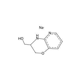 OCC1COc2cccnc2N1.[Na]